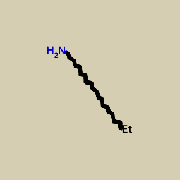 CC/C=C/CC/C=C/C/C=C/CC/C=C/CC/C=C/CCCN